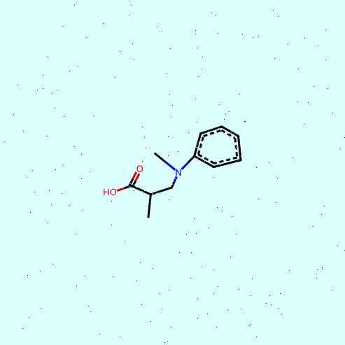 CC(CN(C)c1ccccc1)C(=O)O